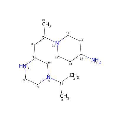 CC(C)N1CCNC(CC(C)N2CCC(N)CC2)C1